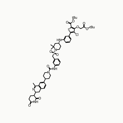 CC1=NC(C2CCC(=O)NC2=O)Cc2ccc(C3CCN(C(=O)Nc4cccc(CS(=O)(=O)N5CC[C@H](Nc6cccc(-c7sc(C(=O)OC(C)(C)C)c(OCC(=O)OC(C)(C)C)c7Cl)c6)CC5(C)C)c4)CC3)cc21